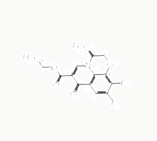 C=C1COc2c(F)c(F)cc3c(=O)c(C(=O)OCC)cn1c23